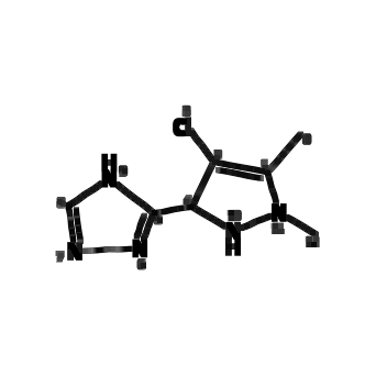 CC1=C(Cl)C(c2nnc[nH]2)NN1C